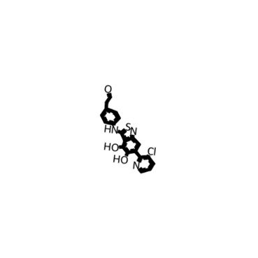 O=CCc1ccc(Nc2snc3cc(-c4ncccc4Cl)c(O)c(O)c23)cc1